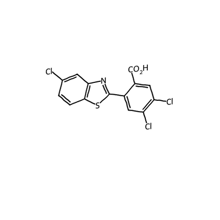 O=C(O)c1cc(Cl)c(Cl)cc1-c1nc2cc(Cl)ccc2s1